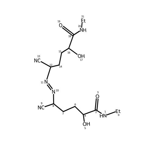 CCNC(=O)C(O)CCC(C#N)N=NC(C#N)CCC(O)C(=O)NCC